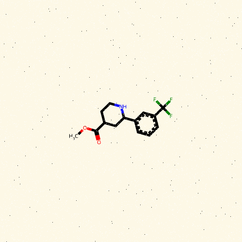 COC(=O)C1CCNC(c2cccc(C(F)(F)F)c2)C1